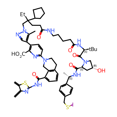 C=c1nc(NC(=O)c2cccc3c2CN(c2ccc(-c4cnn(CC(CC)(CCC(=O)NCCCCC(=O)N[C@H](C(=O)N5C[C@H](O)C[C@H]5C(=O)N[C@@H](C)c5ccc(CSI)cc5)C(C)(C)C)C5CCCC5)c4C)c(C(=O)O)n2)CC3)sc1=C